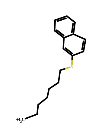 [CH2]CCCCCCSc1ccc2ccccc2c1